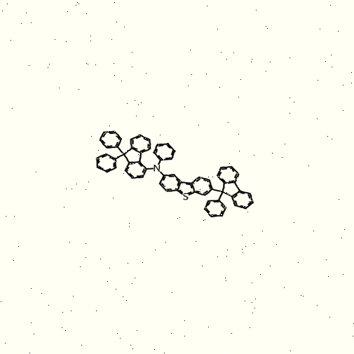 c1ccc(N(c2ccc3sc4cc(C5(c6ccccc6)c6ccccc6-c6ccccc65)ccc4c3c2)c2cccc3c2-c2ccccc2C3(c2ccccc2)c2ccccc2)cc1